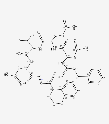 CC(C)C(NC(=O)C(CCC(=O)O)NC(=O)C(CC(=O)O)NC(=O)OCc1ccccc1)C(=O)NN(CC(=O)O)C(=O)/C=C/C(=O)N1CCCc2ccccc21